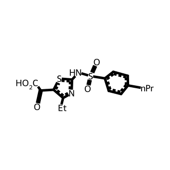 CCCc1ccc(S(=O)(=O)Nc2nc(CC)c(C(=O)C(=O)O)s2)cc1